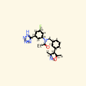 CCC(=O)N(Cc1cccc(-c2c(C)noc2C)c1)c1cc(F)cc(-c2nnn[nH]2)c1